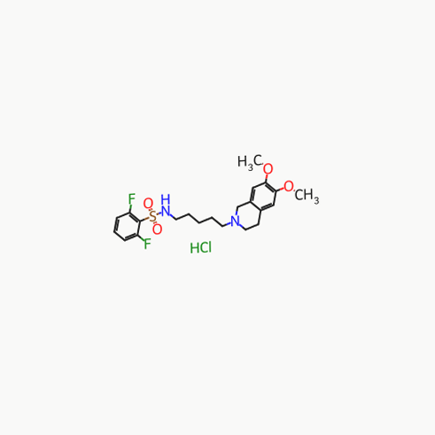 COc1cc2c(cc1OC)CN(CCCCCNS(=O)(=O)c1c(F)cccc1F)CC2.Cl